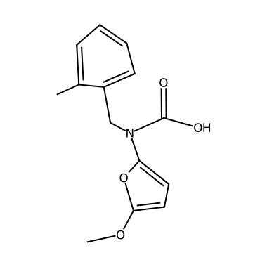 COc1ccc(N(Cc2ccccc2C)C(=O)O)o1